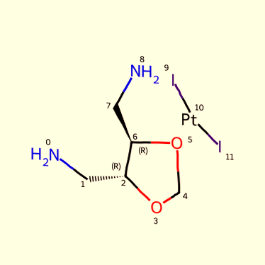 NC[C@H]1OCO[C@@H]1CN.[I][Pt][I]